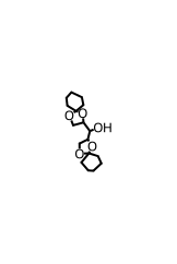 OC(C1COC2(CCCCC2)O1)C1COC2(CCCCC2)O1